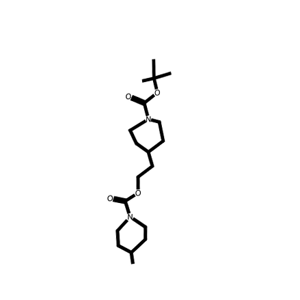 CC1CCN(C(=O)OCCC2CCN(C(=O)OC(C)(C)C)CC2)CC1